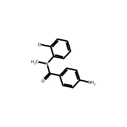 CN(C(=O)c1ccc(N)cc1)c1ccccc1Cl